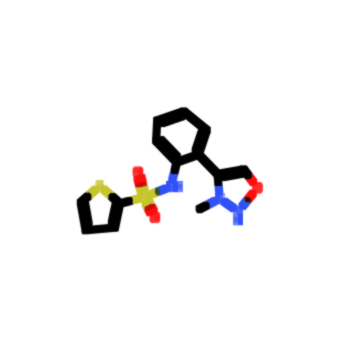 CN1NOC=C1c1ccccc1NS(=O)(=O)c1cccs1